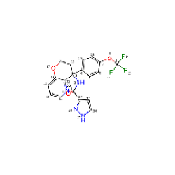 O=C(NC1(c2ccc(OC(F)(F)F)cc2)CCOc2cccnc21)c1cc[nH]n1